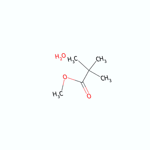 COC(=O)C(C)(C)C.O